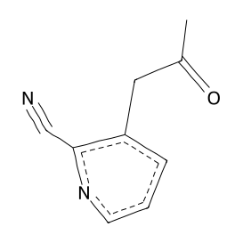 CC(=O)Cc1cccnc1C#N